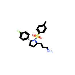 Cc1ccc(S(=O)(=O)N2[C@@H](CCCN)CC[C@@H]2c2ccc(F)cc2)cc1